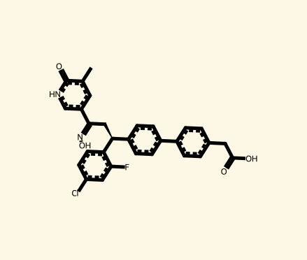 Cc1cc(/C(C[C@@H](c2ccc(-c3ccc(CC(=O)O)cc3)cc2)c2ccc(Cl)cc2F)=N/O)c[nH]c1=O